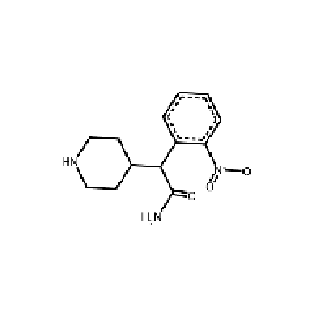 NC(=O)C(c1ccccc1[N+](=O)[O-])C1CCNCC1